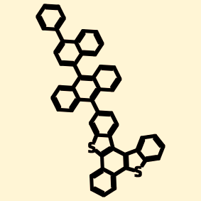 c1ccc(-c2ccc(-c3c4ccccc4c(-c4ccc5c(c4)sc4c6ccccc6c6sc7ccccc7c6c54)c4ccccc34)c3ccccc23)cc1